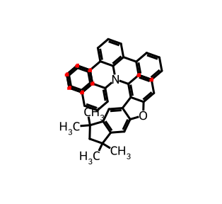 CC1(C)CC(C)(C)c2cc3c(cc21)oc1cccc(N(c2c(-c4ccccc4)cccc2-c2ccccc2)c2cccc4ccccc24)c13